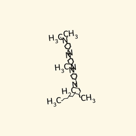 C=C(/C=C\C(=C/C)CCCCCCC)N=Cc1ccc(N=Nc2ccc(N=Nc3ccc(N(CC)CC)cc3)cc2C)cc1